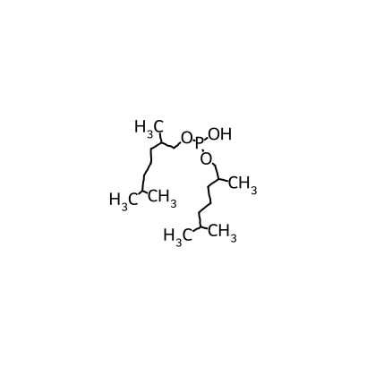 CC(C)CCCC(C)COP(O)OCC(C)CCCC(C)C